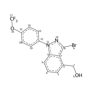 OCc1cccc2c1c(Br)nn2-c1ccc(OC(F)(F)F)cc1